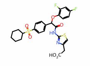 O=C(O)Cc1csc(NC(=O)C(Oc2ccc(F)cc2F)c2ccc(S(=O)(=O)C3CCCCC3)cc2)n1